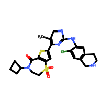 O=C1c2sc(-c3nc(Nc4cc5c(cc4Cl)CNCC5)ncc3C(F)(F)F)cc2S(=O)(=O)CCN1C1CCC1